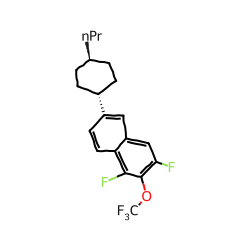 CCC[C@H]1CC[C@H](c2ccc3c(F)c(OC(F)(F)F)c(F)cc3c2)CC1